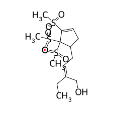 CCC(=CCC1CC=C(S(C)(=O)=O)C1(S(C)(=O)=O)S(C)(=O)=O)CO